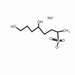 CC(CCC(O)CCCO)S(=O)(=O)[O-].[Na+]